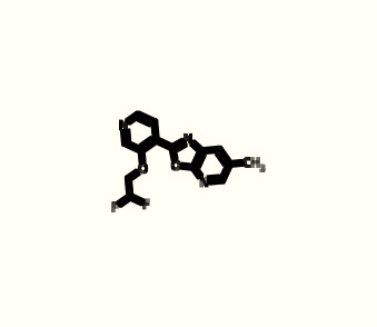 Cc1cnc2oc(-c3ccncc3OCC(F)F)nc2c1